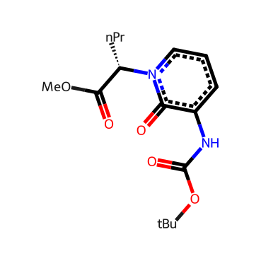 CCC[C@@H](C(=O)OC)n1cccc(NC(=O)OC(C)(C)C)c1=O